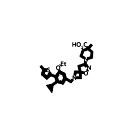 CCOc1cc(CN2CC3(CC(N4CCC(C)(C(=O)O)CC4)=NO3)C2)cc(C2CC2)c1-c1ccc(C)s1